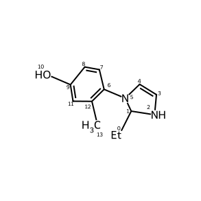 CCC1NC=CN1c1ccc(O)cc1C